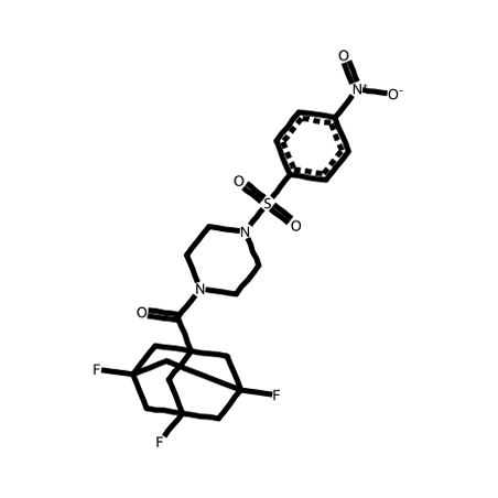 O=C(N1CCN(S(=O)(=O)c2ccc([N+](=O)[O-])cc2)CC1)C12CC3(F)CC(F)(CC(F)(C3)C1)C2